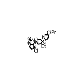 CC[C@H]1CN(c2nc(=O)n(C)c3ccc(Cl)nc23)[C@@H](C)C[C@@H]1Oc1ccc(OC(C)C)cn1